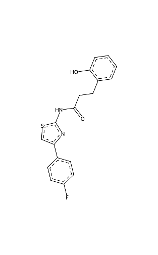 O=C(CCc1ccccc1O)Nc1nc(-c2ccc(F)cc2)cs1